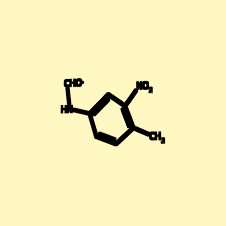 Cc1ccc(N[C]=O)cc1[N+](=O)[O-]